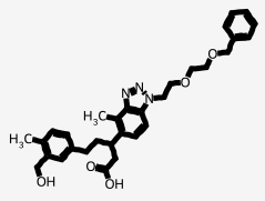 Cc1ccc(CCC(CC(=O)O)c2ccc3c(nnn3CCOCCOCc3ccccc3)c2C)cc1CO